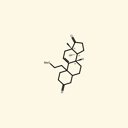 CSCCC12CCC(=O)CC1CC[C@@H]1C2=CC[C@]2(C)C(=O)CC[C@@H]12